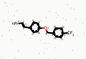 CCC/C=C/c1ccc(OCc2ccc(C(F)(F)F)cc2)cc1